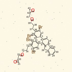 Brc1cc(-c2ccc3c(c2-c2cc(Br)c(CCCOCC4CO4)c(Br)c2)Cc2ccccc2-3)cc(Br)c1CCCOCC1CO1